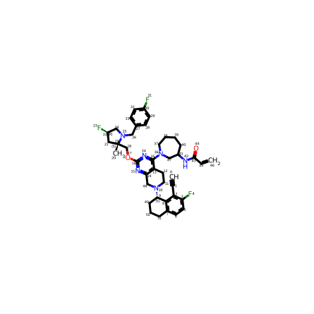 C#Cc1c(F)ccc2c1[C@@H](N1CCc3c(nc(OC[C@]4(C)C[C@@H](F)CN4Cc4ccc(F)cc4)nc3N3CCCCC(NC(=O)C=C)C3)C1)CCC2